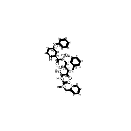 CC(C)[C@H](NC(=O)N(C)Cc1ccccn1)C(=O)[C@@H](Cc1ccccc1)[C@@H](O)CN(C(=O)[C@@H]1C[C@H](Sc2ccccc2)CCN1)C(C)(C)C